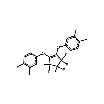 Cc1ccc(OC2=C(Oc3ccc(C)c(C)c3)C(F)(F)C(F)(F)C2(F)F)cc1C